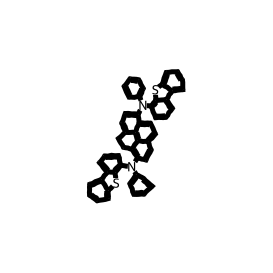 c1ccc(N(c2ccc3ccc4c(N(c5ccccc5)c5cccc6c5sc5ccccc56)ccc5c4c3c2CC5)c2cccc3c2sc2ccccc23)cc1